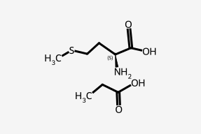 CCC(=O)O.CSCC[C@H](N)C(=O)O